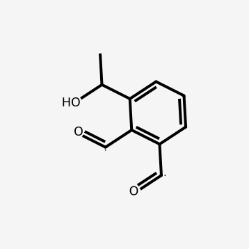 CC(O)c1cccc([C]=O)c1[C]=O